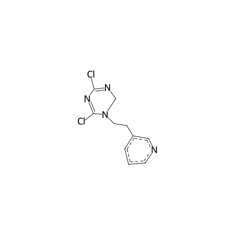 ClC1=NCN(CCc2cccnc2)C(Cl)=N1